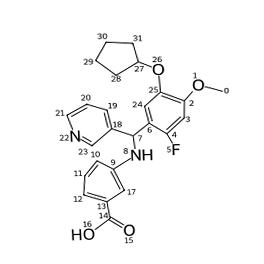 COc1cc(F)c(C(Nc2cccc(C(=O)O)c2)c2cccnc2)cc1OC1CCCC1